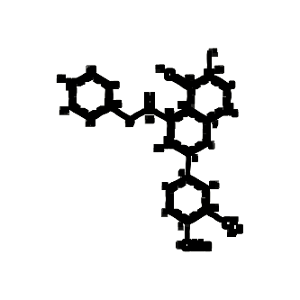 COc1ccc(-c2cc3ncn(C)c(=O)c3c(NCc3ccncc3)n2)cc1C(F)(F)F